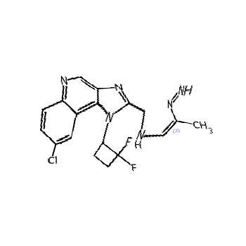 C/C(=C/NCc1nc2cnc3ccc(Cl)cc3c2n1C1CCC1(F)F)N=N